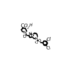 O=C(O)C1CCN(C(=O)c2cc3n(n2)CCCN(C(=O)OCc2cc(Cl)cc(Cl)c2)C3)CC1